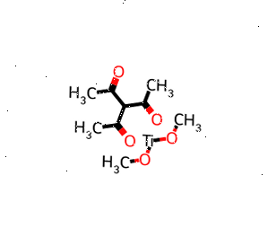 CC(=O)C(C(C)=O)C(C)=O.C[O][Ti][O]C